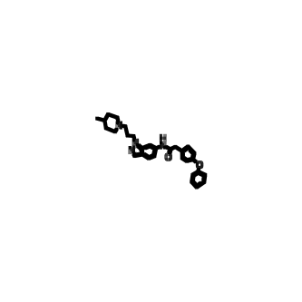 CC1CCN(CCCn2ncc3ccc(NC(=O)Cc4ccc(Oc5ccccc5)cc4)cc32)CC1